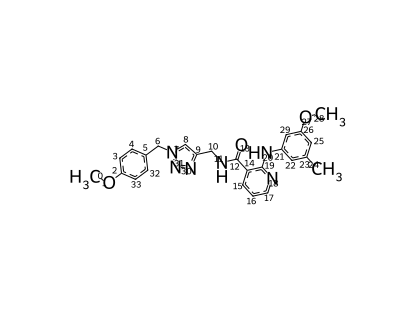 COc1ccc(Cn2cc(CNC(=O)c3cccnc3Nc3cc(C)cc(OC)c3)nn2)cc1